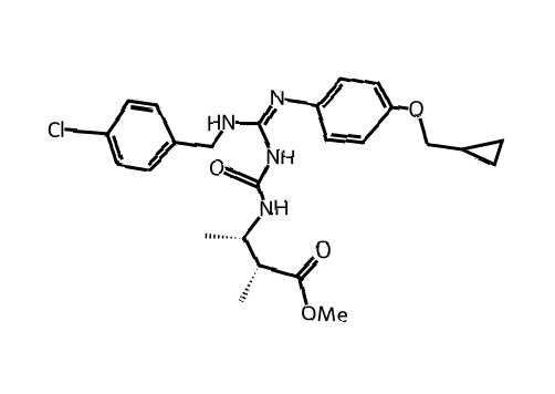 COC(=O)[C@H](C)[C@H](C)NC(=O)N/C(=N\c1ccc(OCC2CC2)cc1)NCc1ccc(Cl)cc1